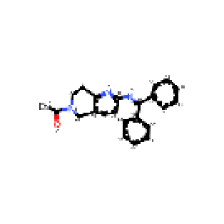 CCC(=O)N1CCc2nc(N=C(c3ccccc3)c3ccccc3)ccc2C1